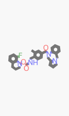 Cc1cc(C(=O)N2Cc3cccn3Cc3ccccc32)ccc1CNC(=O)ON1CCCc2cccc(F)c21